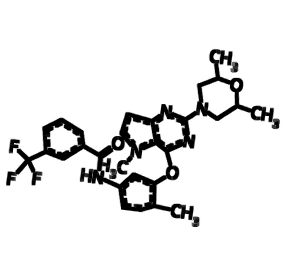 Cc1ccc(NC(=O)c2cccc(C(F)(F)F)c2)cc1Oc1nc(N2CC(C)OC(C)C2)nc2ccn(C)c12